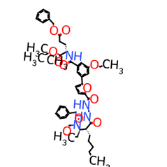 CCCCC[C@@H](C(=O)NCNC(=O)c1ccc(-c2cc(OCC)cc(C(=O)N[C@@H](CCC(=O)OCc3ccccc3)C(=O)OC(C)(C)C)c2)o1)[C@@H](CC)N(C=O)OCc1ccccc1